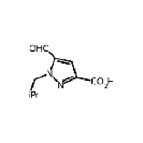 CC(C)Cn1nc(C(=O)O)cc1C=O